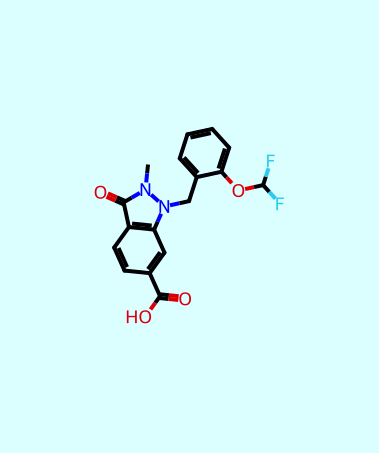 Cn1c(=O)c2ccc(C(=O)O)cc2n1Cc1ccccc1OC(F)F